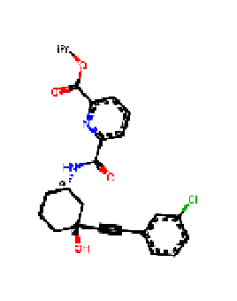 CC(C)OC(=O)c1cccc(C(=O)N[C@H]2CCC[C@@](O)(C#Cc3cccc(Cl)c3)C2)n1